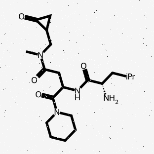 CC(C)C[C@H](N)C(=O)NC(CC(=O)N(C)CC1CC1=O)C(=O)N1CCCCC1